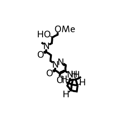 COC[C@@H](O)CN(C)C(=O)CCn1ncc(N[C@@H]2C[C@H]3C[C@H]([C@@H]2C)C3(C)C)c(Cl)c1=O